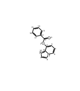 O=C(Oc1cccn2ccnc12)c1ccccc1